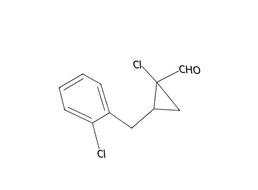 O=CC1(Cl)CC1Cc1ccccc1Cl